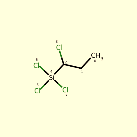 CCC(Cl)[Si](Cl)(Cl)Cl